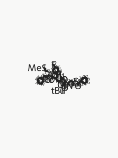 CSCC[C@H](NC(=O)c1ccc(OC(C(=O)OC(C)(C)C)[C@@H]2C[C@H](SC(=O)c3ccccc3)CN2)nc1-c1ccc(F)cc1)C(=O)Cc1ccccc1